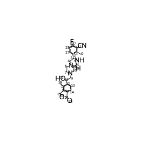 Cc1c([C@@H]2CN3CCN(CC(O)c4ccc5c(c4C)COC5=O)C[C@H]3CN2)ccc(F)c1C#N